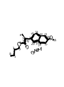 CCCCOC(=O)[C@@H](C)c1ccc2cc(OC)ccc2c1.N=O